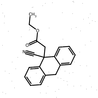 CCOC(=O)CC1(C#N)c2ccccc2Cc2ccccc21